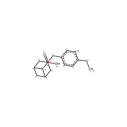 COc1ccc(CN2CC3CC(C2)N3C(=O)O)cn1